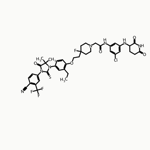 CCc1cc(N2C(=S)N(c3ccc(C#N)c(C(F)(F)F)c3)C(=O)C2(C)C)ccc1OCCC1(F)CCN(CC(=O)Nc2cc(Cl)cc(NC3CCC(=O)NC3=O)c2)CC1